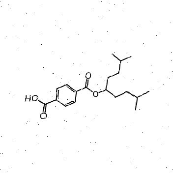 CC(C)CCC(CCC(C)C)OC(=O)c1ccc(C(=O)O)cc1